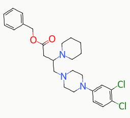 O=C(CC(CN1CCN(c2ccc(Cl)c(Cl)c2)CC1)N1CCCCC1)OCc1ccccc1